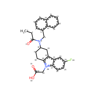 CCC(=O)N(Cc1cccc2ccccc12)C1CCc2c(c3cc(F)ccc3n2CC(=O)O)C1